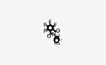 O=C1c2c(F)c(F)c(F)c(F)c2C(=O)N1C1CC2CCC1C2